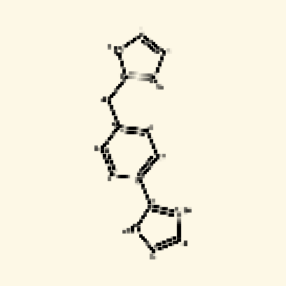 c1coc(Cc2ccc(-c3ncco3)cc2)n1